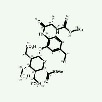 COC(=O)[C@H]1O[C@@H](Oc2cc(CCl)ccc2NC(=O)[C@H](C)NC(=O)OC(C)(C)C)[C@H](CC(=O)O)[C@@H](CC(=O)O)[C@@H]1CC(=O)O